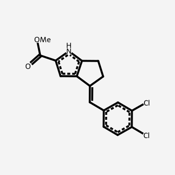 COC(=O)c1cc2c([nH]1)CC/C2=C\c1ccc(Cl)c(Cl)c1